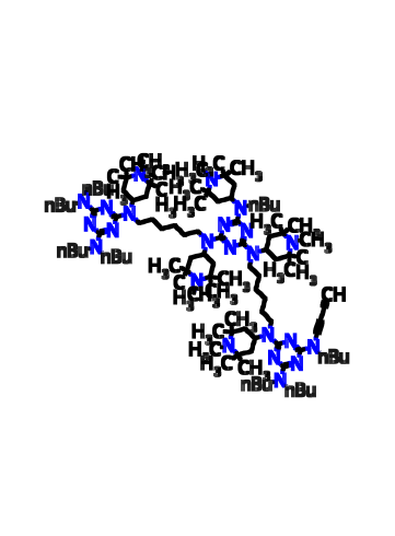 C#CC#CN(CCCC)c1nc(N(CCCC)CCCC)nc(N(CCCCCCN(c2nc(N(CCCC)C3CC(C)(C)N(C)C(C)(C)C3)nc(N(CCCCCCN(c3nc(N(CCCC)CCCC)nc(N(CCCC)CCCC)n3)C3CC(C)(C)N(C)C(C)(C)C3)C3CC(C)(C)N(C)C(C)(C)C3)n2)C2CC(C)(C)N(C)C(C)(C)C2)C2CC(C)(C)N(C)C(C)(C)C2)n1